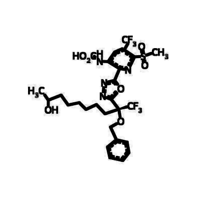 CC(O)CCCCCC[C@@](OCc1ccccc1)(c1nnc(-c2nc(S(C)(=O)=O)c(C(F)(F)F)cc2NC(=O)O)o1)C(F)(F)F